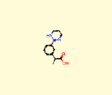 CC(C(=O)O)c1cccc(N2N=CC=CN2)c1